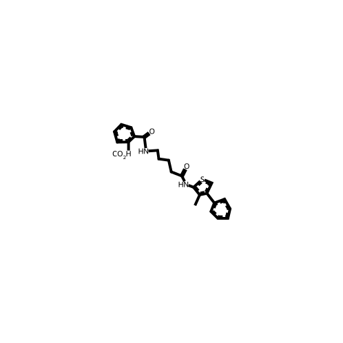 Cc1c(-c2ccccc2)csc1NC(=O)CCCCNC(=O)c1ccccc1C(=O)O